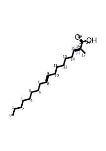 CCCCCCCCC=CCCCCC/C=C(\C)C(=O)O